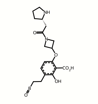 O=BCCc1ccc(OC2CN(C(=O)C[C@@H]3CCCN3)C2)c(C(=O)O)c1O